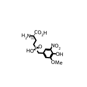 COc1cc(CP(=O)(O)CC[C@H](N)C(=O)O)cc([N+](=O)[O-])c1O